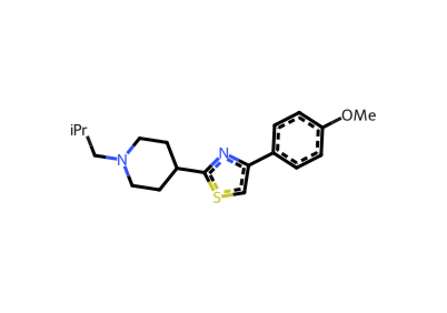 COc1ccc(-c2csc(C3CCN(CC(C)C)CC3)n2)cc1